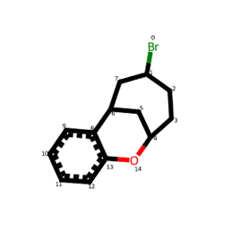 BrC1CCC2CC(C1)c1ccccc1O2